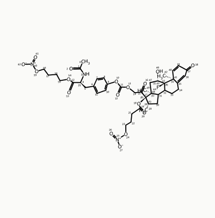 CC(=O)N[C@@H](Cc1ccc(OC(=O)OCC(=O)[C@@]2(OC(=O)CCCO[N+](=O)[O-])[C@@H](C)CC3C4CCC5=CC(=O)C=C[C@]5(C)[C@@]4(F)[C@@H](O)C[C@@]32C)cc1)C(=O)OCCCCO[N+](=O)[O-]